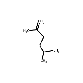 C=C(C)COC(C)C